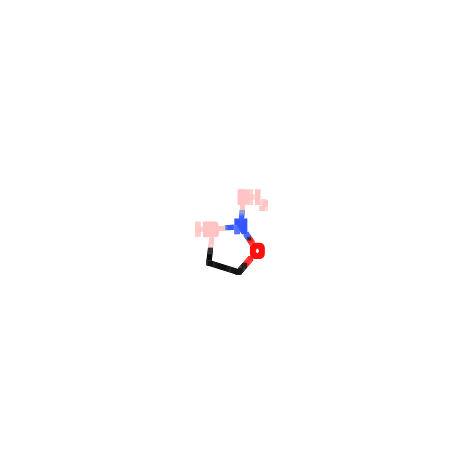 BN1BCCO1